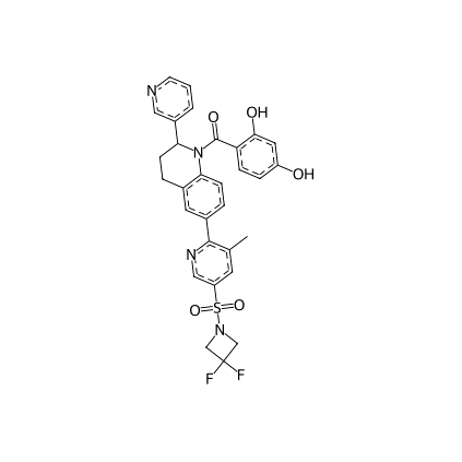 Cc1cc(S(=O)(=O)N2CC(F)(F)C2)cnc1-c1ccc2c(c1)CCC(c1cccnc1)N2C(=O)c1ccc(O)cc1O